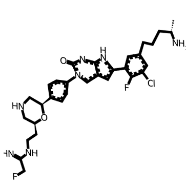 C[C@H](N)CCCc1cc(Cl)c(F)c(-c2cc3cn(-c4ccc([C@@H]5CNC[C@H](CCNC(=N)CF)O5)cc4)c(=O)nc3[nH]2)c1